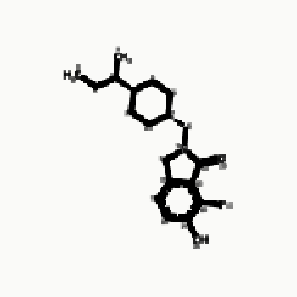 CCC(C)[C@H]1CC[C@H](CN2Cc3ccc(O)c(F)c3C2=O)CC1